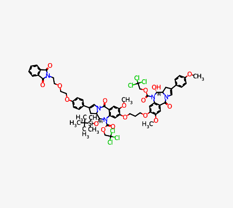 COc1ccc(C2=CN3C(=O)c4cc(OC)c(OCCCOc5cc6c(cc5OC)C(=O)N5C=C(c7ccc(OCCOCCN8C(=O)c9ccccc9C8=O)cc7)CC5[C@@H](O[Si](C)(C)C(C)(C)C)N6C(=O)OCC(Cl)(Cl)Cl)cc4N(C(=O)OCC(Cl)(Cl)Cl)[C@H](O)C3C2)cc1